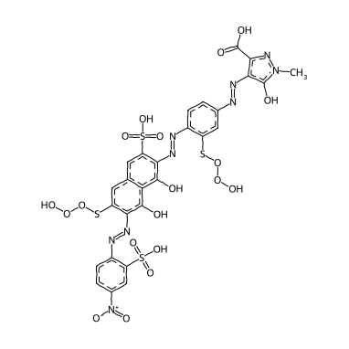 Cn1nc(C(=O)O)c(/N=N/c2ccc(/N=N/c3c(S(=O)(=O)O)cc4cc(SOOO)c(/N=N/c5ccc([N+](=O)[O-])cc5S(=O)(=O)O)c(O)c4c3O)c(SOOO)c2)c1O